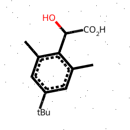 Cc1cc(C(C)(C)C)cc(C)c1C(O)C(=O)O